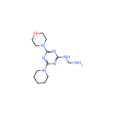 NCNc1nc(N2CCCCC2)nc(N2CCOCC2)n1